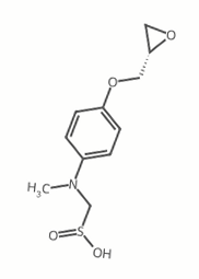 CN(CS(=O)O)c1ccc(OC[C@@H]2CO2)cc1